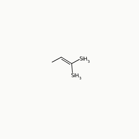 CC=C([SiH3])[SiH3]